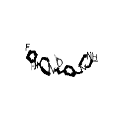 C[C@H]1CN(Cc2ccc(CC(=O)N3CCC(Nc4ccc(F)cc4)CC3)cc2)CCN1